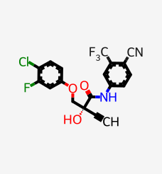 C#C[C@@](O)(COc1ccc(Cl)c(F)c1)C(=O)Nc1ccc(C#N)c(C(F)(F)F)c1